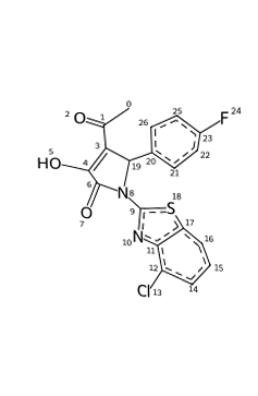 CC(=O)C1=C(O)C(=O)N(c2nc3c(Cl)cccc3s2)C1c1ccc(F)cc1